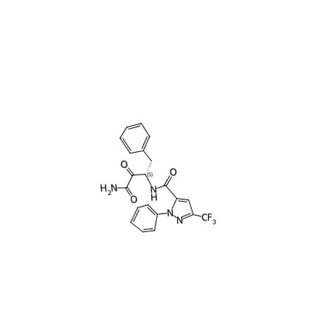 NC(=O)C(=O)[C@H](Cc1ccccc1)NC(=O)c1cc(C(F)(F)F)nn1-c1ccccc1